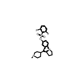 CN1CCC(c2c3n(c4ccc(OS(=O)(=O)c5c(F)cccc5F)cc24)CCC3)CC1